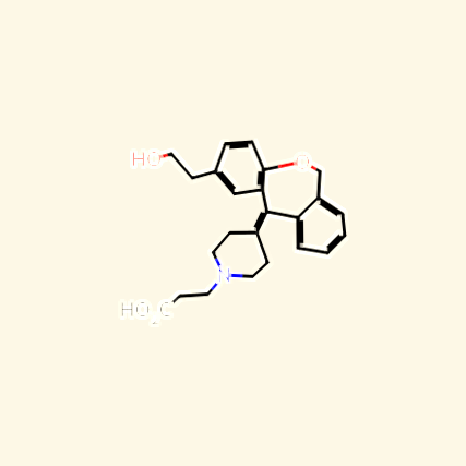 O=C(O)CCN1CCC(=C2c3ccccc3COc3ccc(CCO)cc32)CC1